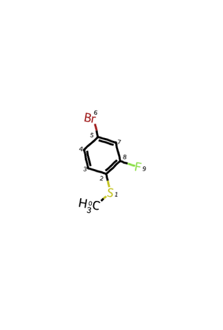 CSc1ccc(Br)cc1F